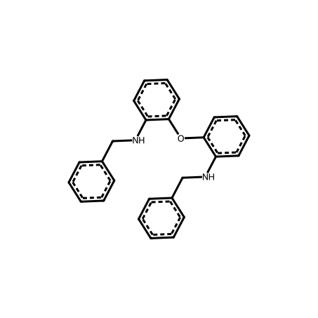 c1ccc(CNc2ccccc2Oc2ccccc2NCc2ccccc2)cc1